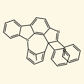 Cc1c2cccc1C1(c3ccccc3)C(c3ccccc3)=Nc3ccc4c5ccccc5n-2c4c31